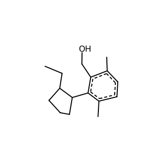 CCC1CCCC1c1c(C)ccc(C)c1CO